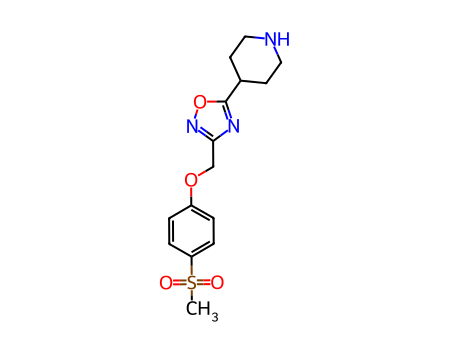 CS(=O)(=O)c1ccc(OCc2noc(C3CCNCC3)n2)cc1